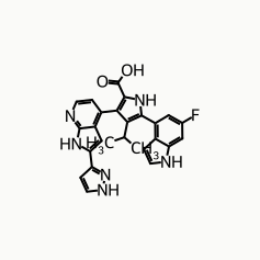 CC(C)c1c(-c2cc(F)cc3[nH]ccc23)[nH]c(C(=O)O)c1-c1ccnc2[nH]c(-c3cc[nH]n3)cc12